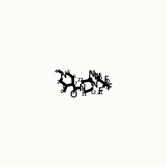 CC1CN(C)CCC1C(=O)N1CCn2c(nnc2C(F)(F)F)C1